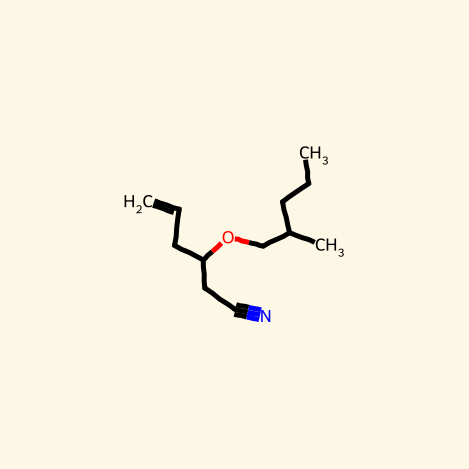 C=CCC(CC#N)OCC(C)CCC